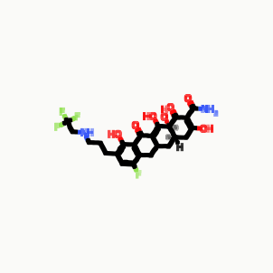 NC(=O)C1=C(O)C[C@@H]2CC3Cc4c(F)cc(CCCNCC(F)(F)F)c(O)c4C(=O)C3=C(O)[C@]2(O)C1=O